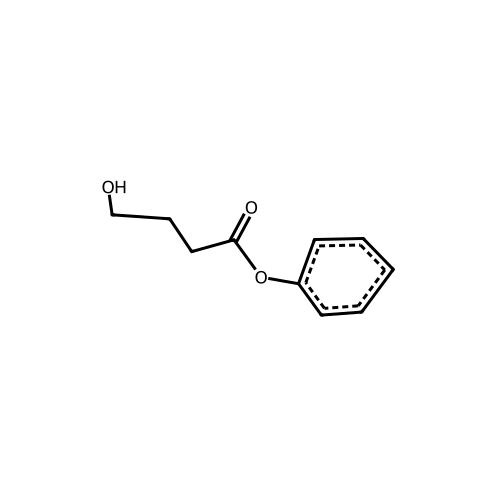 O=C(CCCO)Oc1ccccc1